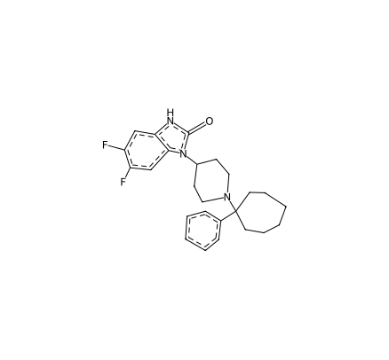 O=c1[nH]c2cc(F)c(F)cc2n1C1CCN(C2(c3ccccc3)CCCCCC2)CC1